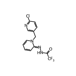 O=C(NN=c1ccccn1Cc1ccc(Cl)nc1)C(F)(F)F